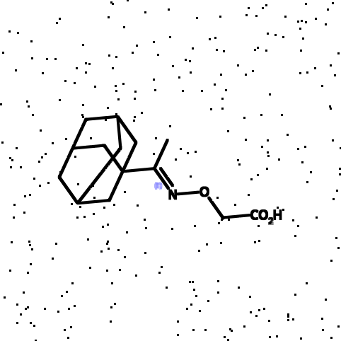 C/C(=N\OCC(=O)O)C12CC3CC(CC(C3)C1)C2